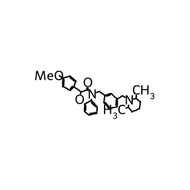 COc1ccc(C2Oc3ccccc3N(Cc3cccc(CN4C(C)CCCC4C)c3)C2=O)cc1